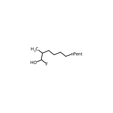 CCCCCCCCCC(C)C(O)F